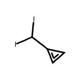 IC(I)C1=C=C1